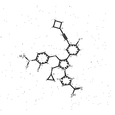 N[S+]([O-])c1ccc(Cc2c(-c3ccc(F)c(C#CC4CCC4)c3)nn(-c3nc(C(=O)O)cs3)c2CC2CC2)cc1F